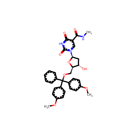 CNC(=O)c1cn([C@H]2C[C@H](O)[C@@H](COC(c3ccccc3)(c3ccc(OC)cc3)c3ccc(OC)cc3)O2)c(=O)[nH]c1=O